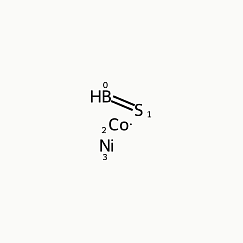 B=S.[Co].[Ni]